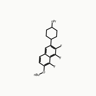 CCCCOc1ccc2cc(C3CCC(CCC)CC3)c(F)c(F)c2c1F